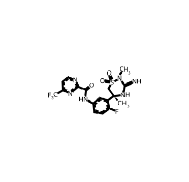 CN1C(=N)N[C@](C)(c2cc(NC(=O)c3nccc(C(F)(F)F)n3)ccc2F)CS1(=O)=O